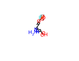 CCOP(=O)(OCC)C(F)(F)CCCOc1ccc(CCc2cnc3c(N)nc4cc(CCC(=O)O)ccc4c3c2)c(C)c1